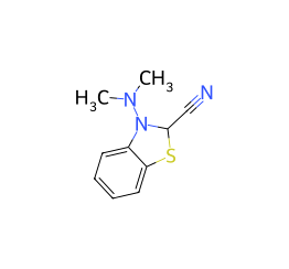 CN(C)N1c2ccccc2SC1C#N